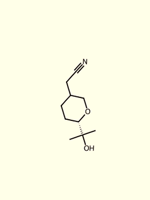 CC(C)(O)[C@@H]1CCC(CC#N)CO1